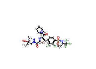 C[C@H](NS(=O)(=O)c1ccc(-c2sc(C(=O)NCC(C)(C)O)nc2C(=O)N2C3CCC2CC3)c(Cl)c1Cl)C(F)(F)F